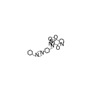 O=C1c2ncccc2C(=O)c2c1n(Cc1ccc(N3CCN(Cc4ccccc4)CC3)cc1)n[n+]2[O-]